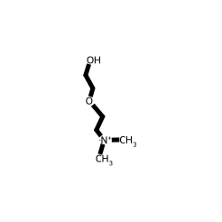 C[N+](C)CCOCCO